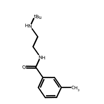 Cc1cccc(C(=O)NCCNC(C)(C)C)c1